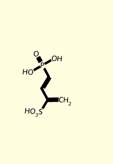 C=C(C=CP(=O)(O)O)S(=O)(=O)O